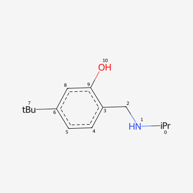 CC(C)NCc1ccc(C(C)(C)C)cc1O